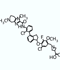 COc1c(CN2CC(C(=O)O)C2)cc(Cl)c(OC2CCc3c(-c4cccc(NC(=O)c5nc6c(n5C)CCN(C)C6)c4Cl)cccc32)c1F